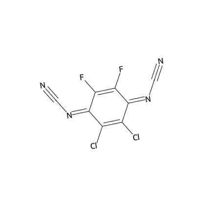 N#C/N=C1C(F)=C(F)/C(=N\C#N)C(Cl)=C\1Cl